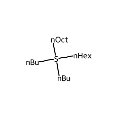 CCCCCCCCS(CCCC)(CCCC)CCCCCC